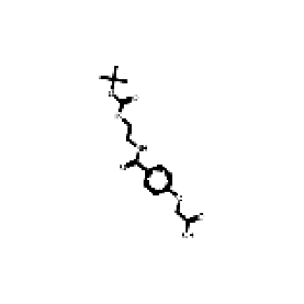 CC(C)(C)OC(=O)NCCNC(=O)c1ccc(OCC(=O)O)cc1